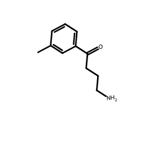 Cc1cccc(C(=O)CCCN)c1